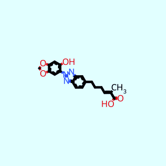 C/C(=C\CCCc1ccc2nn(-c3cc4c(cc3O)OCO4)nc2c1)C(=O)O